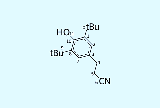 CC(C)(C)c1cc(CCC#N)cc(C(C)(C)C)c1O